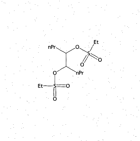 CCCC(OS(=O)(=O)CC)C(CCC)OS(=O)(=O)CC